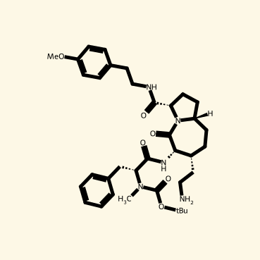 COc1ccc(CCNC(=O)[C@@H]2CC[C@@H]3CC[C@H](CCN)[C@H](NC(=O)[C@@H](Cc4ccccc4)N(C)C(=O)OC(C)(C)C)C(=O)N32)cc1